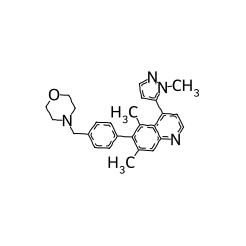 Cc1cc2nccc(-c3ccnn3C)c2c(C)c1-c1ccc(CN2CCOCC2)cc1